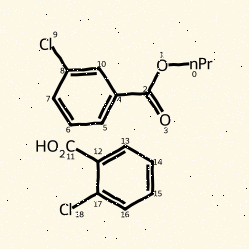 CCCOC(=O)c1cccc(Cl)c1.O=C(O)c1ccccc1Cl